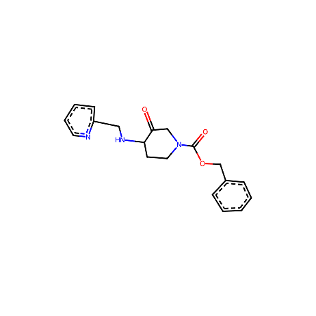 O=C1CN(C(=O)OCc2ccccc2)CCC1NCc1ccccn1